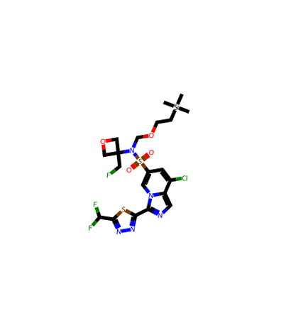 C[Si](C)(C)CCOCN(C1(CF)COC1)S(=O)(=O)c1cc(Cl)c2cnc(-c3nnc(C(F)F)s3)n2c1